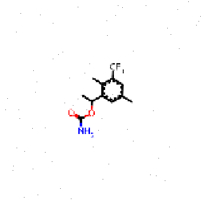 Cc1cc(C(C)OC(N)=O)c(C)c(C(F)(F)F)c1